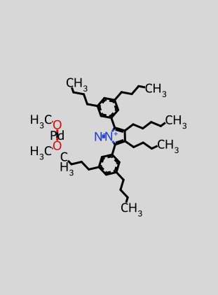 CCCCCC1=C(c2cc(CCCC)cc(CCCC)c2)[N+](=[N-])C(c2cc(CCCC)cc(CCCC)c2)=C1CCCC.C[O][Pd][O]C